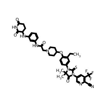 CCc1cc(N2C(=S)N(c3cnc(C#N)c(C(F)(F)F)c3)C(=O)C2(C)C)ccc1OC1CCN(CC(=O)Nc2cccc(NC3CCC(=O)NC3=O)c2)CC1